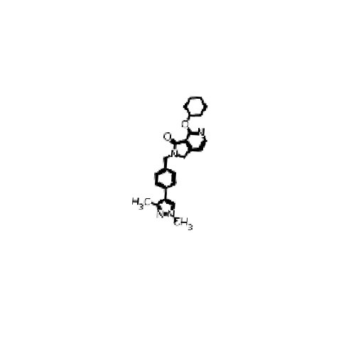 Cc1nn(C)cc1-c1ccc(CN2Cc3ccnc(OC4CCCCC4)c3C2=O)cc1